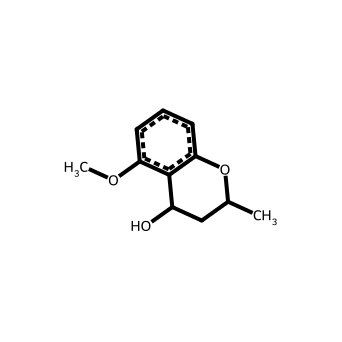 COc1cccc2c1C(O)CC(C)O2